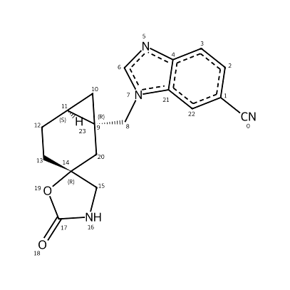 N#Cc1ccc2ncn(C[C@@]34C[C@@H]3CC[C@]3(CNC(=O)O3)C4)c2c1